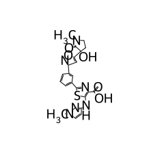 CN1CCC(O)(c2cc(-c3cccc(-c4nc(C(=O)O)c(Nc5ccn(C)n5)s4)c3)no2)C1=O